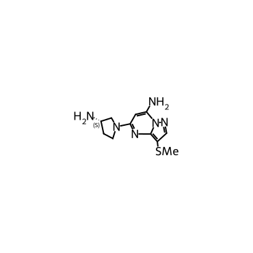 CSc1cnn2c(N)cc(N3CC[C@H](N)C3)nc12